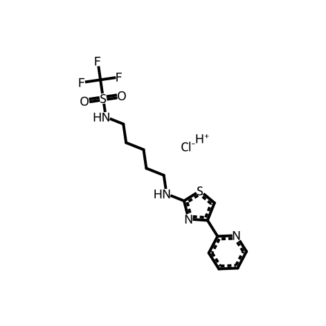 O=S(=O)(NCCCCCNc1nc(-c2ccccn2)cs1)C(F)(F)F.[Cl-].[H+]